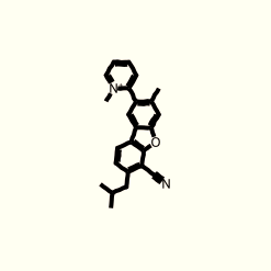 Cc1cc2oc3c(C#N)c(CC(C)C)ccc3c2cc1-c1cccc[n+]1C